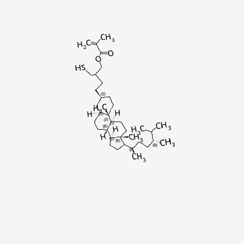 C=C(C)C(=O)OCC(CS)CC[C@H]1CC[C@@]2(C)[C@@H](CC[C@@H]3[C@@H]2CC[C@]2(C)C([C@H](C)CC[C@@H](C)C(C)C)CC[C@@H]32)C1